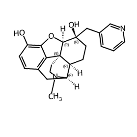 CN1CC[C@]23c4c5ccc(O)c4O[C@H]2[C@](O)(Cc2cccnc2)CC[C@H]3[C@H]1C5